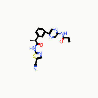 C=CC(=O)Nc1cnc(-c2cccc([C@H](C)C(=O)Nc3ncc(C#N)s3)c2)cn1